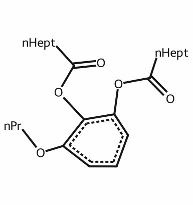 CCCCCCCC(=O)Oc1cccc(OCCC)c1OC(=O)CCCCCCC